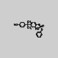 CC(C)(c1ccc(O)cc1)c1ccc(OP(=O)(O)Oc2ccccc2)cc1